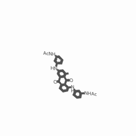 CC(=O)Nc1cccc(Nc2cc(C)c3c(c2)C(=O)c2cccc(Nc4cccc(NC(C)=O)c4)c2C3=O)c1